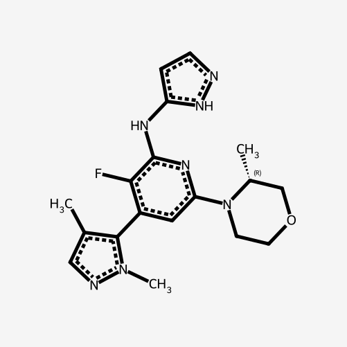 Cc1cnn(C)c1-c1cc(N2CCOC[C@H]2C)nc(Nc2ccn[nH]2)c1F